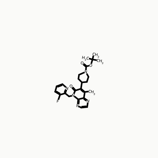 Cc1c(C2CCN(C(=O)OC(C)(C)C)CC2)c(=O)n(Cc2ncccc2F)c2nccnc12